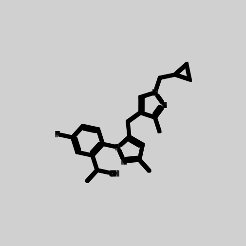 Cc1cc(Cc2cn(CC3CC3)nc2C)n(-c2ccc(F)cc2C(C)O)n1